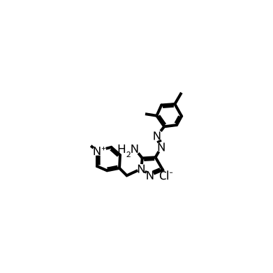 Cc1ccc(/N=N/c2cnn(Cc3cc[n+](C)cc3)c2N)c(C)c1.[Cl-]